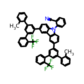 Cc1ccccc1-c1cc(-c2ccc3c(c2)c2cc(-c4cc(-c5ccccc5C)cc(-c5ccccc5C(F)(F)F)c4)ccc2n3-c2ccccc2C#N)cc(-c2ccccc2C(F)(F)F)c1